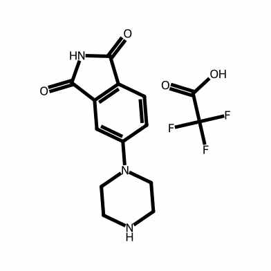 O=C(O)C(F)(F)F.O=C1NC(=O)c2cc(N3CCNCC3)ccc21